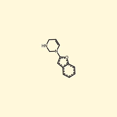 C1=CN(c2cc3ccccc3o2)CNC1